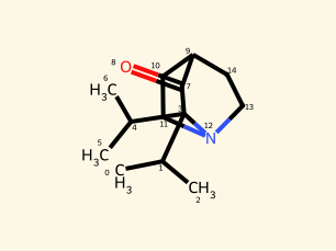 CC(C)C1(C(C)C)C(=O)C2CCN1CC2